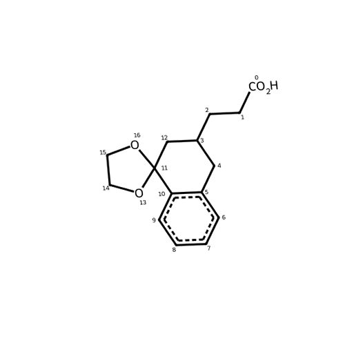 O=C(O)CCC1Cc2ccccc2C2(C1)OCCO2